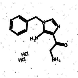 Cl.Cl.NCC(=O)c1ncn(Cc2ccccc2)c1N